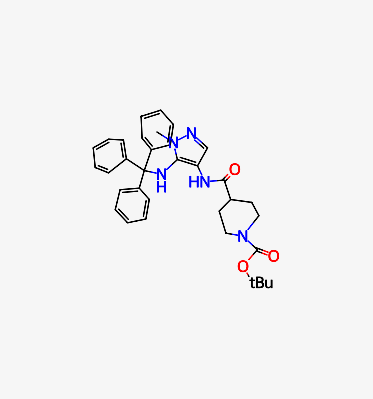 Cn1ncc(NC(=O)C2CCN(C(=O)OC(C)(C)C)CC2)c1NC(c1ccccc1)(c1ccccc1)c1ccccc1